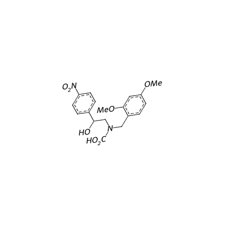 COc1ccc(CN(CC(O)c2ccc([N+](=O)[O-])cc2)C(=O)O)c(OC)c1